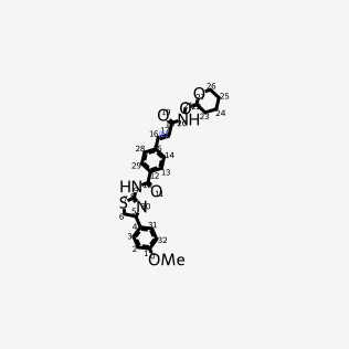 COc1ccc(C2CSC(NC(=O)c3ccc(/C=C/C(=O)NOC4CCCCO4)cc3)=N2)cc1